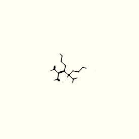 CCCCC(=C(C(=O)O)C(=O)O)C(C)(CCCC)C(C)C